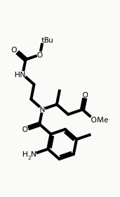 COC(=O)CC(C)N(CCNC(=O)OC(C)(C)C)C(=O)c1cc(C)ccc1N